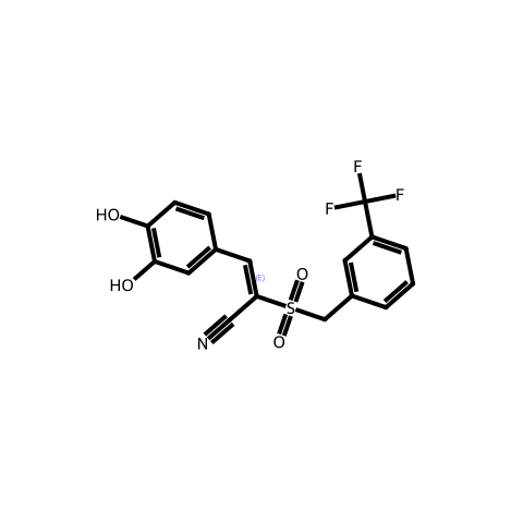 N#C/C(=C\c1ccc(O)c(O)c1)S(=O)(=O)Cc1cccc(C(F)(F)F)c1